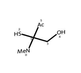 CNC(S)(CO)C(C)=O